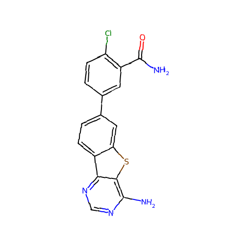 NC(=O)c1cc(-c2ccc3c(c2)sc2c(N)ncnc23)ccc1Cl